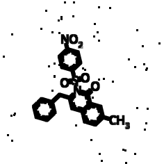 Cc1ccc2cc(Cc3ccccc3)n(S(=O)(=O)c3ccc([N+](=O)[O-])cc3)c(=O)c2c1